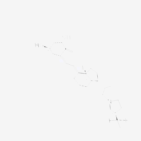 C=C1/C(=C\C=C2/CCC[C@]3(C)[C@@H](C(C)CN4CC[C@@H](C(C)(F)F)C4)CC[C@@H]23)C[C@@H](O)C[C@@H]1O